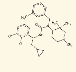 Cc1cccc(CN(C(=O)NC(CC2CC2)c2cccc(Cl)c2Cl)C2CCN(C)CC2(C)C)c1